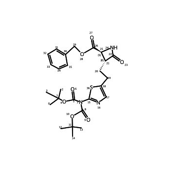 CC(C)(C)OC(=O)N(C(=O)OC(C)(C)C)c1ncc(CC[C@H]2C(=O)N[C@@H]2C(=O)OCc2ccccc2)s1